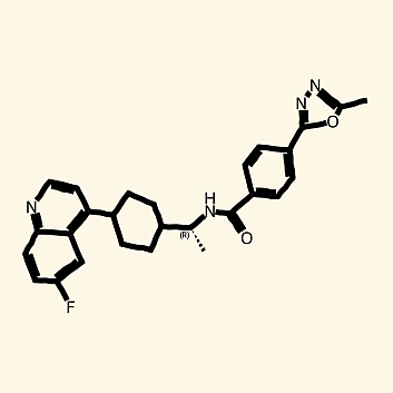 Cc1nnc(-c2ccc(C(=O)N[C@H](C)C3CCC(c4ccnc5ccc(F)cc45)CC3)cc2)o1